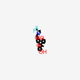 CC1=C(c2cccc(O)c2)C(c2ccc(OCCN3CC[C@H]3C(F)F)cc2)Oc2ccc(O)cc21